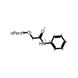 CCCCCOCC(=O)Nc1[c]cccc1